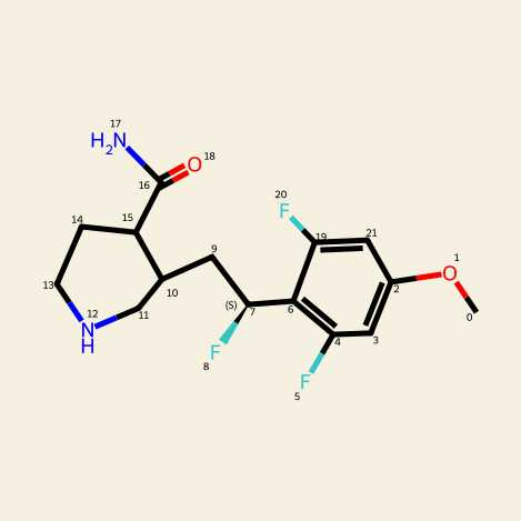 COc1cc(F)c([C@@H](F)CC2CNCCC2C(N)=O)c(F)c1